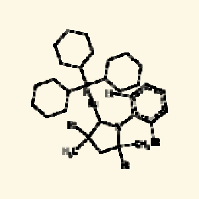 CCc1cccc(CC)c1N1[CH]([Ru][PH](C2CCCCC2)(C2CCCCC2)C2CCCCC2)C(C)(CC)CC1(C)CC